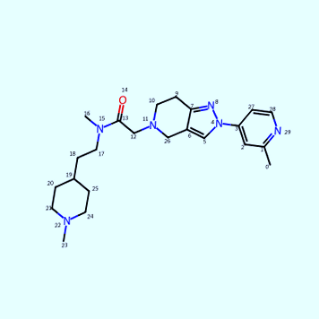 Cc1cc(-n2cc3c(n2)CCN(CC(=O)N(C)CCC2CCN(C)CC2)C3)ccn1